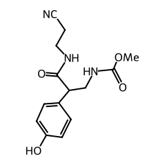 COC(=O)NCC(C(=O)NCCC#N)c1ccc(O)cc1